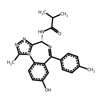 Cc1ccc(C2=N[C@@H](NC(=O)C(C)C)c3nnc(C)n3-c3ccc(O)cc32)cc1